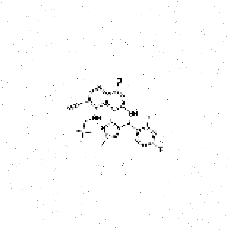 Cc1nc(F)ccc1C(Nc1cc(Cl)c2ncc(C#N)c(NCC(C)(C)C)c2c1)c1cn(C)nn1